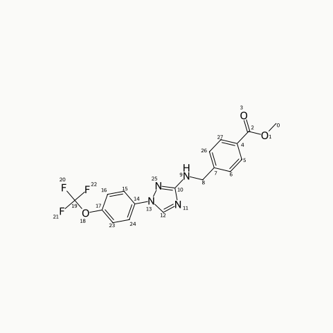 COC(=O)c1ccc(CNc2ncn(-c3ccc(OC(F)(F)F)cc3)n2)cc1